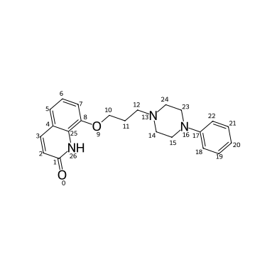 O=c1ccc2cccc(OCCCN3CCN(c4ccccc4)CC3)c2[nH]1